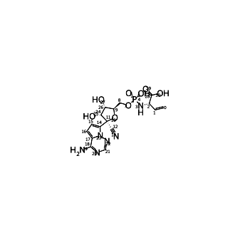 C=C[C@H](NP(=O)(O)OC[C@H]1O[C@@](C#N)(c2ccc3c(N)ncnn23)[C@H](O)[C@@H]1O)C(=O)O